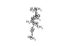 CCOC(=O)c1nc(N(C)c2cc(C)c(/N=c3\sc4ccccc4n3COCC[Si](C)(C)C)nn2)sc1CCCOc1ccc(C#CCNC)cc1F